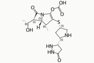 C[C@@H](O)[C@H]1C(=O)N2C(OC(=O)O)=C(S[C@@H]3CN[C@H](C4CC(=O)NN4)C3)[C@H](C)[C@H]12